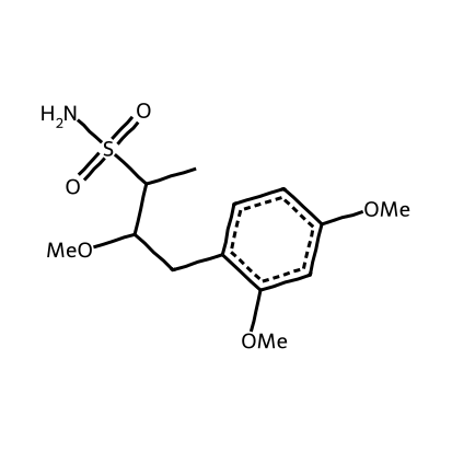 COc1ccc(CC(OC)C(C)S(N)(=O)=O)c(OC)c1